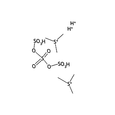 C[S+](C)C.C[S+](C)C.O=S(=O)(O)OS(=O)(=O)OS(=O)(=O)O.[H+].[H+]